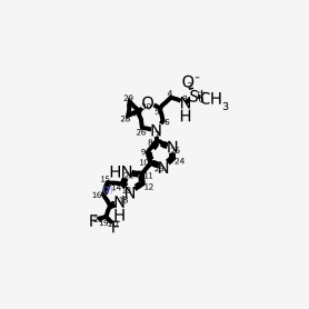 C[S+]([O-])NCC1CN(c2cc(-c3cnc(/C=C\C(=N)C(F)F)[nH]3)ncn2)CC2(CC2)O1